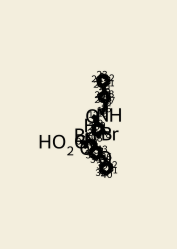 O=C(O)C(=O)N[C@H](Cc1c(Br)cc(C(=O)NCCc2ccc(-c3ccccc3)cc2)cc1Br)c1cccc(Oc2ccccc2)c1